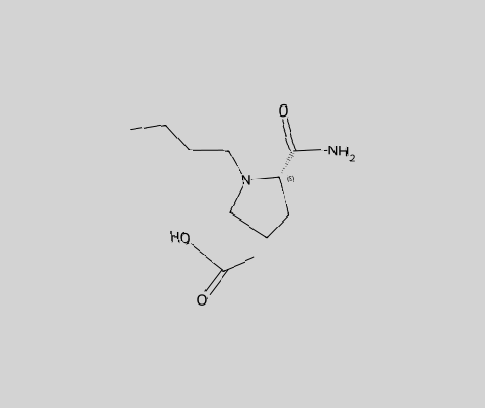 CC(=O)O.CCCCN1CCC[C@H]1C(N)=O